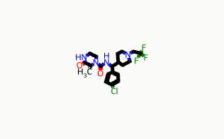 C[C@@H]1C(=O)NCCN1C(=O)NC(c1ccc(Cl)cc1)C1CCN(CC(F)(F)F)CC1